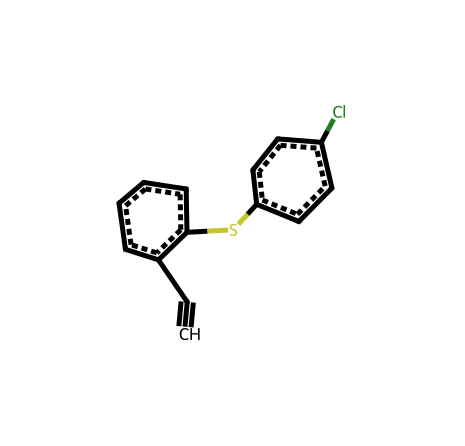 C#Cc1ccccc1Sc1ccc(Cl)cc1